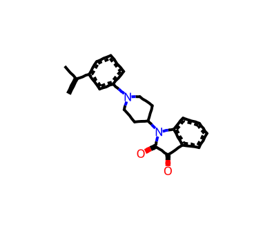 C=C(C)c1cccc(N2CCC(N3C(=O)C(=O)c4ccccc43)CC2)c1